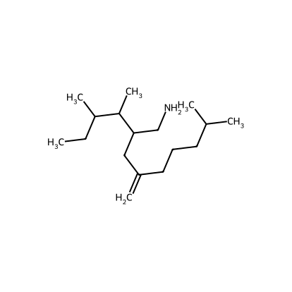 C=C(CCCC(C)C)CC(CN)C(C)C(C)CC